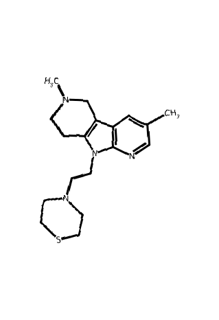 Cc1cnc2c(c1)c1c(n2CCN2CCSCC2)CCN(C)C1